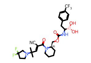 CC(C)(C=C(C#N)C(=O)N1CCCC[C@@H]1COC(=O)NC(Cc1ccc(C(F)(F)F)cc1)B(O)O)N1CCC(F)(F)C1